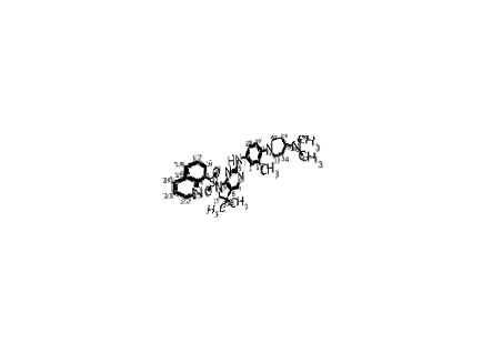 Cc1cc(Nc2ncc3c(n2)N(S(=O)(=O)c2cccc4cccnc24)CC3(C)C)ccc1N1CCC(N(C)C)CC1